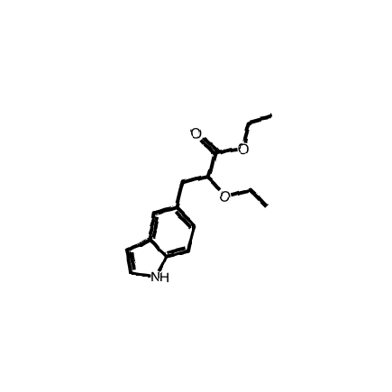 CCOC(=O)C(Cc1ccc2[nH]ccc2c1)OCC